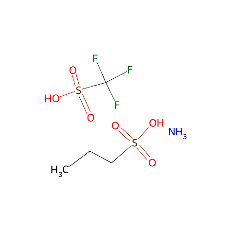 CCCS(=O)(=O)O.N.O=S(=O)(O)C(F)(F)F